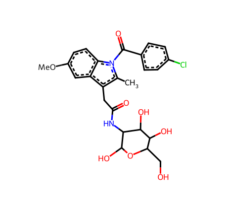 COc1ccc2c(c1)c(CC(=O)NC1C(O)OC(CO)C(O)C1O)c(C)n2C(=O)c1ccc(Cl)cc1